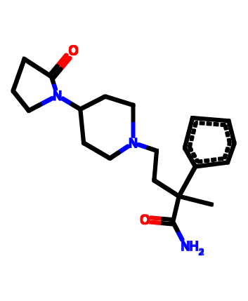 CC(CCN1CCC(N2CCCC2=O)CC1)(C(N)=O)c1ccccc1